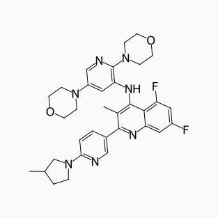 Cc1c(-c2ccc(N3CCC(C)C3)nc2)nc2cc(F)cc(F)c2c1Nc1cc(N2CCOCC2)cnc1N1CCOCC1